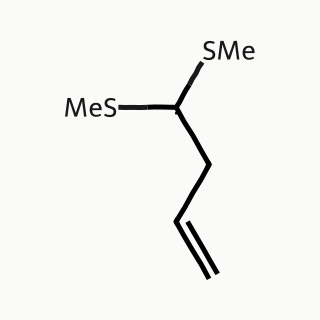 C=CC[C](SC)SC